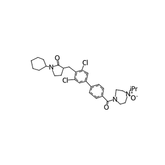 CC(C)[N+]1([O-])CCN(C(=O)c2ccc(-c3cc(Cl)c(CC4CCN(C5CCCCC5)C4=O)c(Cl)c3)cc2)CC1